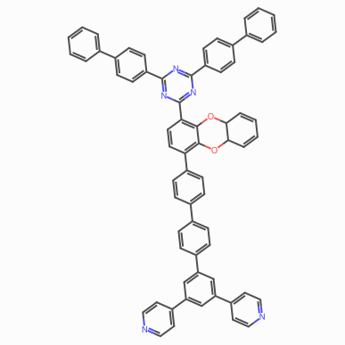 C1=CC2Oc3c(-c4ccc(-c5ccc(-c6cc(-c7ccncc7)cc(-c7ccncc7)c6)cc5)cc4)ccc(-c4nc(-c5ccc(-c6ccccc6)cc5)nc(-c5ccc(-c6ccccc6)cc5)n4)c3OC2C=C1